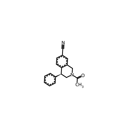 CC(=O)N1Cc2cc(C#N)ccc2[C@H](c2ccccc2)C1